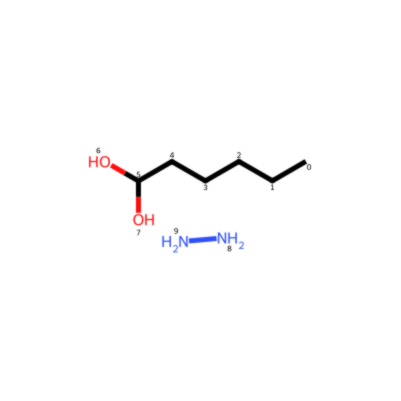 CCCCCC(O)O.NN